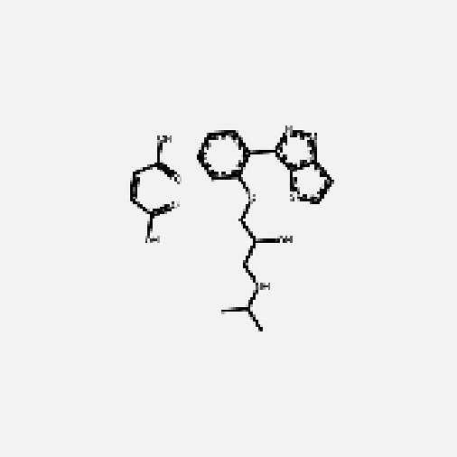 CC(C)NCC(O)COc1ccccc1-c1noc2ccsc12.O=C(O)/C=C\C(=O)O